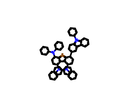 c1ccc(N(c2ccccc2)c2ccc(N(c3ccccc3)c3ccccc3)c3c2sc2c(-c4ccc5c(c4)c4ccccc4n5-c4ccccc4)ccc(N(c4ccccc4)c4ccccc4)c23)cc1